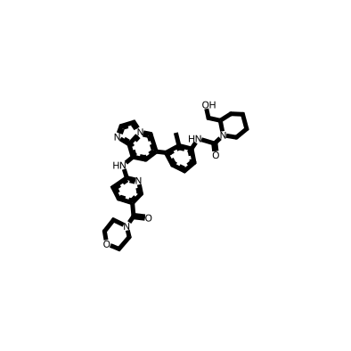 Cc1c(NC(=O)N2CCCCC2CO)cccc1-c1cc(Nc2ccc(C(=O)N3CCOCC3)cn2)c2nccn2c1